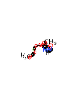 COc1ccc(Oc2cc(OCCCOc3cc4c(cc3OC)C(=O)N3CCC[C@H]3C=N4)ccc2F)cc1